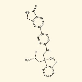 C[C@H](F)C[C@@](C)(CNc1ccc(-c2ccc3c(c2)CNC3=O)nn1)c1ncccc1F